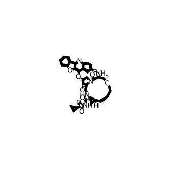 N[C@H]1CCCCC/C=C\[C@@H]2C[C@@]2(C(=O)NS(=O)(=O)C2CC2)NC(=O)[C@@H]2C[C@@H](Oc3c4cc(F)ccc4nc4c3oc3ccccc34)CN2C1=O